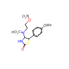 COc1ccc(C2SC(=O)NC2N(CCO[N+](=O)[O-])C(=O)O)cc1